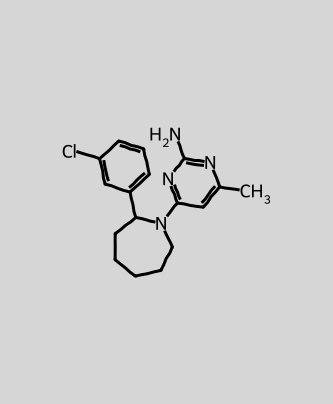 Cc1cc(N2CCCCCC2c2cccc(Cl)c2)nc(N)n1